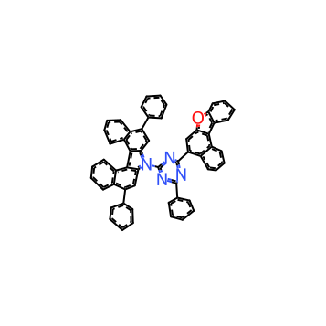 c1ccc(-c2nc(-c3cc4oc5ccccc5c4c4ccccc34)nc(-n3c4cc(-c5ccccc5)c5ccccc5c4c4c5ccccc5c(-c5ccccc5)cc43)n2)cc1